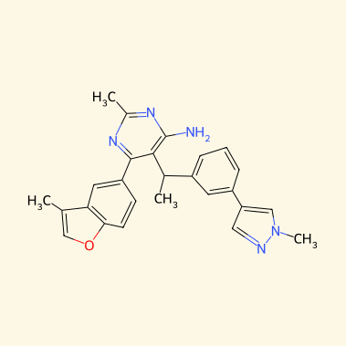 Cc1nc(N)c(C(C)c2cccc(-c3cnn(C)c3)c2)c(-c2ccc3occ(C)c3c2)n1